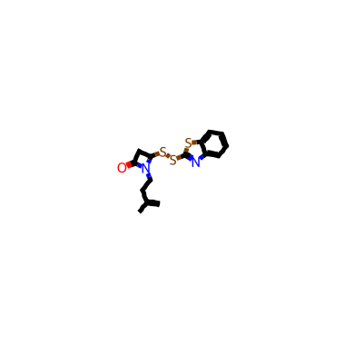 C=C(C)CCN1C(=O)CC1SSc1nc2ccccc2s1